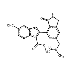 CN(C)Cc1cc2c(c(-c3cc4cc(C=O)ccc4n3C(=O)OC(C)(C)C)c1)C(=O)NC2